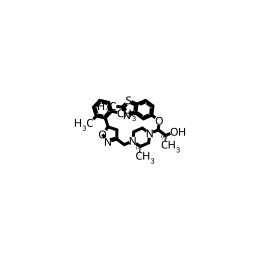 Cc1nc2cc(OC([C@@H](C)O)N3CCN(CC4=NOC(c5c(C)cccc5C)C4)[C@@H](C)C3)ccc2s1